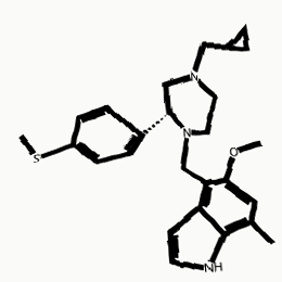 COc1cc(C)c2[nH]ccc2c1CN1CCN(CC2CC2)C[C@H]1c1ccc(SC)cc1